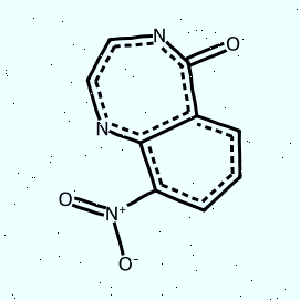 O=c1nccnc2c([N+](=O)[O-])cccc12